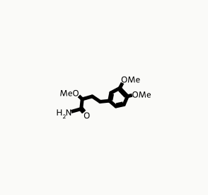 COc1ccc(CCC(OC)C(N)=O)cc1OC